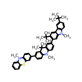 CN1c2ccccc2Sc2cc(-c3ccc4c(c3)C(C)(C)c3cc(-c5cc6c(cc5C(C)(C)C)c5cc(C(C)(C)C)ccc5n6C)ccc3N4C)ccc21